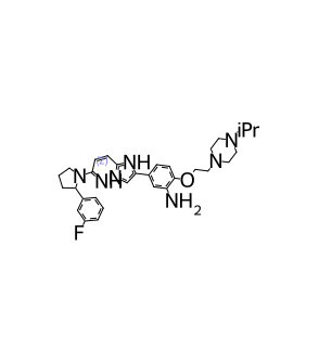 CC(C)N1CCN(CCOc2ccc(-c3cnc(/C=C\C(=N)N4CCCC4c4cccc(F)c4)[nH]3)cc2N)CC1